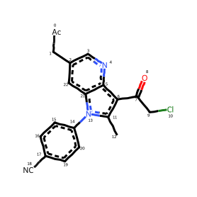 CC(=O)Cc1cnc2c(C(=O)CCl)c(C)n(-c3ccc(C#N)cc3)c2c1